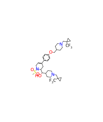 CS(=O)(=O)N1CC=C(c2ccc(OCC3CCN(CC4(C(F)(F)F)CC4)CC3)cc2)CC1C(O)C1CCN(CC2(C(F)(F)F)CC2)CC1